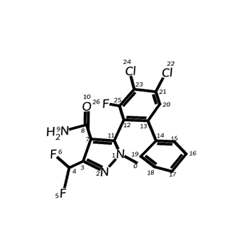 Cn1nc(C(F)F)c(C(N)=O)c1-c1c(-c2ccccc2)cc(Cl)c(Cl)c1F